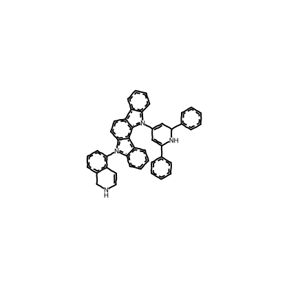 C1=Cc2c(cccc2-n2c3ccccc3c3c4c(ccc32)c2ccccc2n4C2=CC(c3ccccc3)NC(c3ccccc3)=C2)CN1